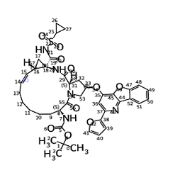 CC(C)(C)OC(=O)N[C@H]1CCCCC/C=C\[C@@H]2C[C@@]2(C(=O)NS(=O)(=O)C2CC2)NC(=O)[C@@H]2C[C@@H](Oc3cc(-c4ccco4)nc4c3oc3ccccc34)CN2C1=O